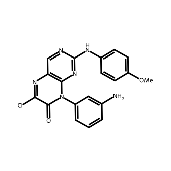 COc1ccc(Nc2ncc3nc(Cl)c(=O)n(-c4cccc(N)c4)c3n2)cc1